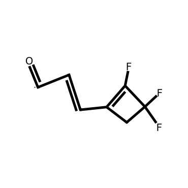 O=[C]C=CC1=C(F)C(F)(F)C1